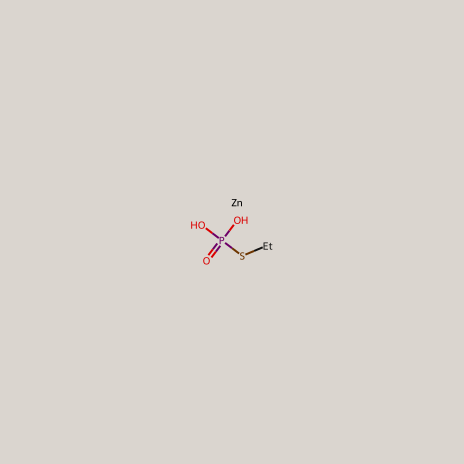 CCSP(=O)(O)O.[Zn]